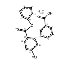 C.OC(=S)c1ccccc1.S=C(Oc1ccccc1)c1ccc(Cl)cc1